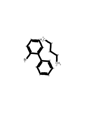 Brc1ccccc1-c1ccccc1.CCCCC